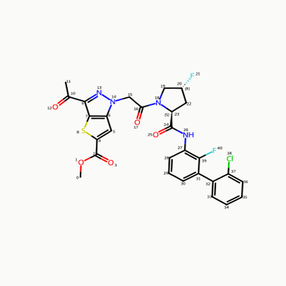 COC(=O)c1cc2c(s1)c(C(C)=O)nn2CC(=O)N1C[C@H](F)C[C@H]1C(=O)Nc1cccc(-c2ccccc2Cl)c1F